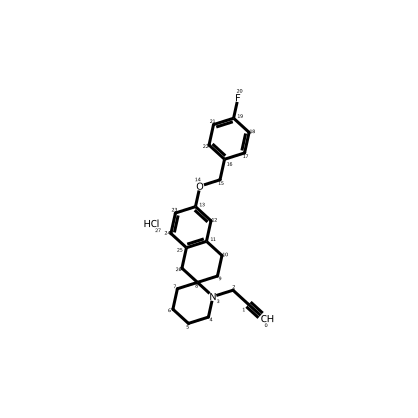 C#CCN1CCCCC12CCc1cc(OCc3ccc(F)cc3)ccc1C2.Cl